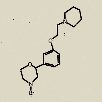 BrN1CCOC(c2cccc(OCCN3CCCCC3)c2)C1